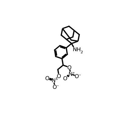 NC1(c2cccc(C(CO[N+](=O)[O-])O[N+](=O)[O-])c2)C2CC3CC(C2)CC1C3